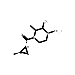 CC1C(C(C)(C)C)N(C(=O)O)CCN1C(=O)[C@@H]1C[C@H]1C